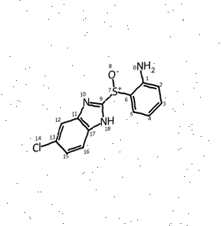 Nc1ccccc1[S+]([O-])c1nc2cc(Cl)ccc2[nH]1